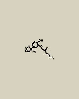 CCOC(=O)COc1cc([C]2([Ag])C=NN=N2)ccc1O